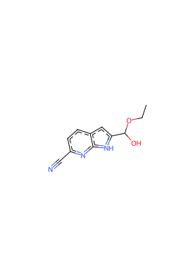 CCOC(O)c1cc2ccc(C#N)nc2[nH]1